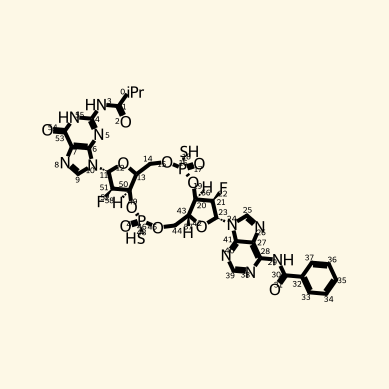 CC(C)C(=O)Nc1nc2c(ncn2[C@@H]2OC3CO[P@](=O)(S)O[C@H]4[C@@H](F)[C@H](n5cnc6c(NC(=O)c7ccccc7)ncnc65)O[C@@H]4CO[P@@](=O)(S)O[C@H]3[C@H]2F)c(=O)[nH]1